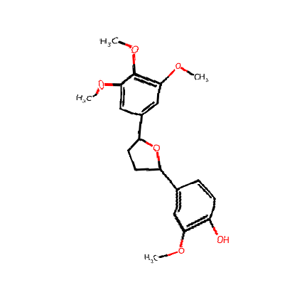 COc1cc(C2CCC(c3cc(OC)c(OC)c(OC)c3)O2)ccc1O